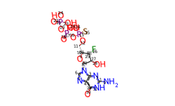 Nc1nc2c(ncn2[C@@H]2O[C@H](COP(O)(=S)OP(=O)(O)OP(=O)(O)O)[C@H](F)C2O)c(=O)[nH]1